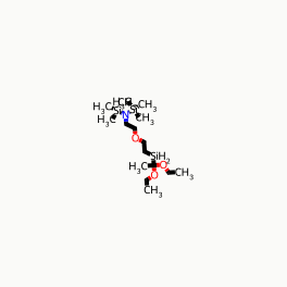 CCOC(C)(OCC)[SiH2]CCOCCN([Si](C)(C)C)[Si](C)(C)C